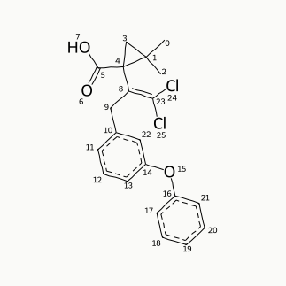 CC1(C)CC1(C(=O)O)C(Cc1cccc(Oc2ccccc2)c1)=C(Cl)Cl